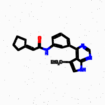 CCOC(=O)c1c[nH]c2ncnc(-c3cccc(NC(=O)C=C4CCCC4)c3)c12